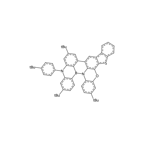 CC(C)(C)c1ccc(N2c3cc(C(C)(C)C)ccc3B3c4c(cc(C(C)(C)C)cc42)-c2cc4c(sc5ccccc54)c4c2N3c2ccc(C(C)(C)C)cc2O4)cc1